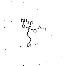 NOP(=O)(CCBr)ON